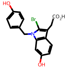 O=C(O)Cc1c(Br)n(Cc2ccc(O)cc2)c2cc(O)ccc12